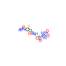 C[C@H](C(=O)Nc1cc(F)c2c(c1)C(O)C(CNCC[C@@H]1CN(c3cnc4c(n3)NC(=O)CO4)C(=O)O1)C2)N(C)C